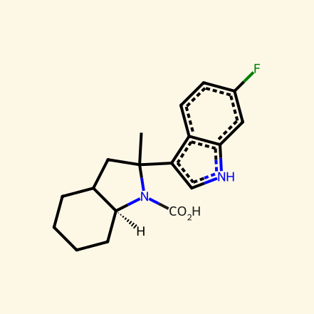 CC1(c2c[nH]c3cc(F)ccc23)CC2CCCC[C@@H]2N1C(=O)O